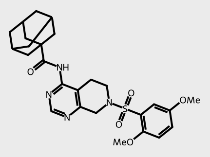 COc1ccc(OC)c(S(=O)(=O)N2CCc3c(ncnc3NC(=O)C34CC5CC(CC(C5)C3)C4)C2)c1